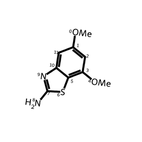 COc1cc(OC)c2sc(N)nc2c1